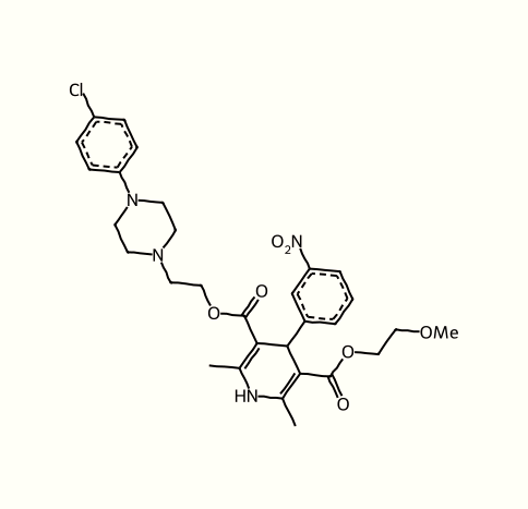 COCCOC(=O)C1=C(C)NC(C)=C(C(=O)OCCN2CCN(c3ccc(Cl)cc3)CC2)C1c1cccc([N+](=O)[O-])c1